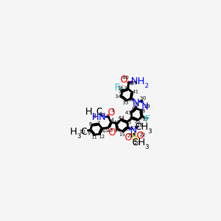 CNC(=O)c1c(-c2ccc(C)cc2)oc2cc(N(C)S(C)(=O)=O)c(-c3cc(F)c4ncn(-c5ccc(F)c(C(N)=O)c5)c4c3)cc12